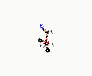 CC(CSCCN=[N+]=[N-])CSCCOCC1O[C@H](C)C(OCc2ccccc2)[C@@H](C)[C@H]1OCc1ccccc1